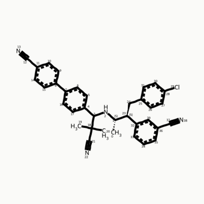 C[C@H](NC(c1ccc(-c2ccc(C#N)cc2)cc1)C(C)(C)C#N)[C@@H](Cc1ccc(Cl)cc1)c1cccc(C#N)c1